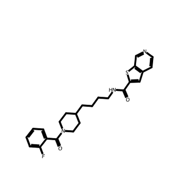 O=C(NCCCCC1CCN(C(=O)c2ccccc2F)CC1)c1cc2ccncc2s1